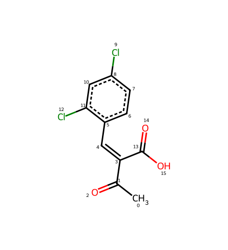 CC(=O)/C(=C/c1ccc(Cl)cc1Cl)C(=O)O